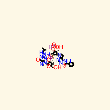 CC(C)CNc1nc2c(ncn2[C@@H]2O[C@H](CO)[C@@H](C)[C@H]2OP(C)(=S)OC[C@H]2C[C@@H](n3ccc4c(NC(=O)c5ccccc5)ncnc43)[C@H](C)[C@@H]2O[PH](=O)O)c(=O)[nH]1